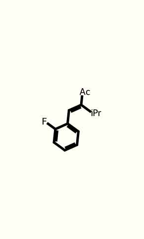 CC(=O)/C(=C/c1ccccc1F)C(C)C